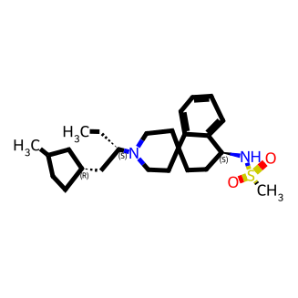 CC[C@@H](C[C@@H]1CCC(C)C1)N1CCC2(CC[C@H](NS(C)(=O)=O)c3ccccc32)CC1